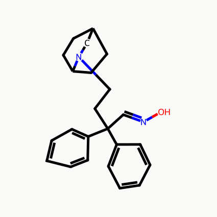 ON=CC(CCN1CC2CCC1CC2)(c1ccccc1)c1ccccc1